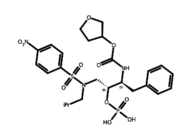 CC(C)CN(C[C@@H](OP(=O)(O)O)[C@H](Cc1ccccc1)NC(=O)OC1CCOC1)S(=O)(=O)c1ccc([N+](=O)[O-])cc1